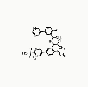 C=Nc1ccc(-c2cnc(C(C)(C)O)nc2)cc1/C(N[C@H](C)c1cc(-c2cncnc2)ccc1F)=C(\C)Cl